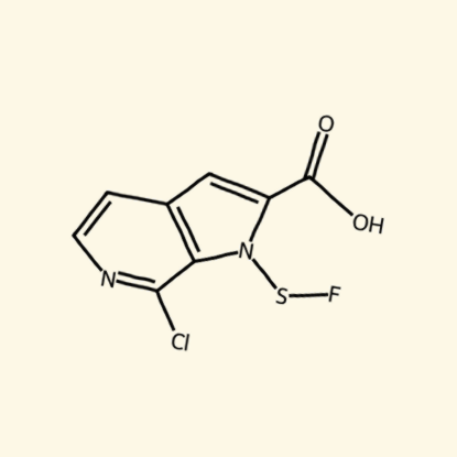 O=C(O)c1cc2ccnc(Cl)c2n1SF